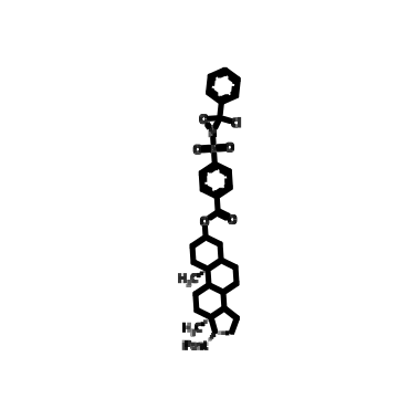 CCC[C@@H](C)[C@H]1CCC2C3CCC4CC(OC(=O)c5ccc(S(=O)(=O)N6OC6(Cl)c6ccccc6)cc5)CC[C@]4(C)C3CC[C@@]21C